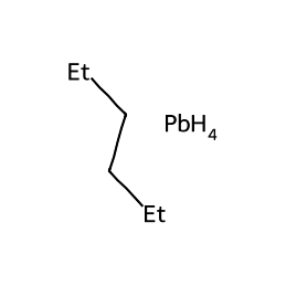 CCCCCC.[PbH4]